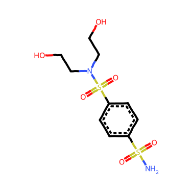 NS(=O)(=O)c1ccc(S(=O)(=O)N(CCO)CCO)cc1